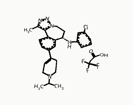 Cc1nnn2c1-c1ccc(C3=CCN(C(C)C)CC3)cc1[C@H](Nc1cccc(Cl)c1)CC2.O=C(O)C(F)(F)F